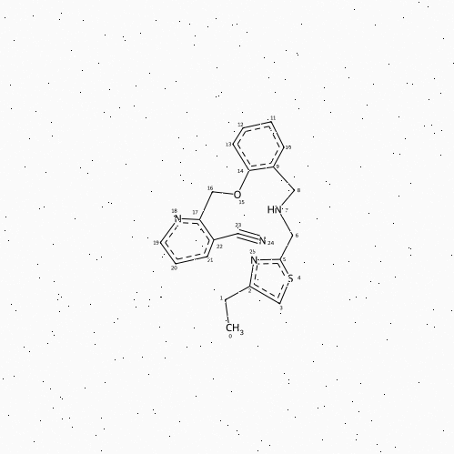 CCc1csc(CNCc2ccccc2OCc2ncccc2C#N)n1